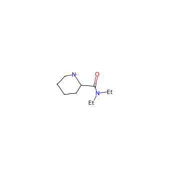 CCN(CC)C(=O)C1CCCC[N]1